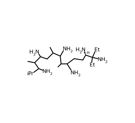 CCC(N)(CC)[C@H](N)CCC(N)C(C)C(N)C(C)CC(N)C(C)C(N)C(C)C